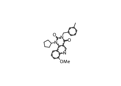 COc1cccc2c1ncc1c(=O)n(Cc3cccc(C)c3)c(=O)n(C3CCCC3)c12